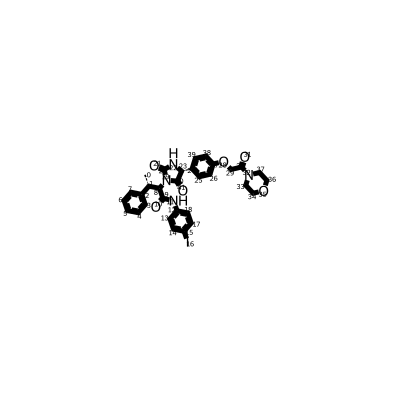 C[C@@H](c1ccccc1)C(C(=O)Nc1ccc(I)cc1)N1C(=O)N[C@H](c2ccc(OCC(=O)N3CCOCC3)cc2)C1=O